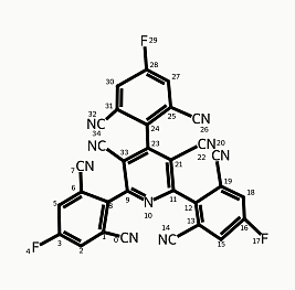 N#Cc1cc(F)cc(C#N)c1-c1nc(-c2c(C#N)cc(F)cc2C#N)c(C#N)c(-c2c(C#N)cc(F)cc2C#N)c1C#N